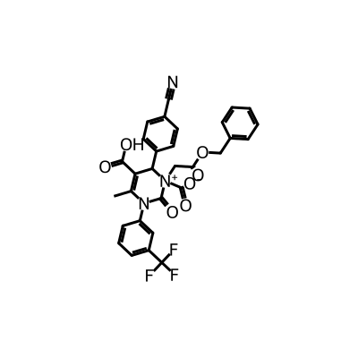 CC1=C(C(=O)O)C(c2ccc(C#N)cc2)[N+](CC(=O)OCc2ccccc2)(C(=O)[O-])C(=O)N1c1cccc(C(F)(F)F)c1